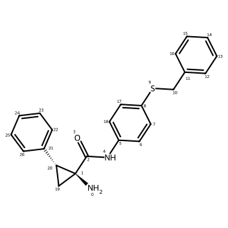 N[C@@]1(C(=O)Nc2ccc(SCc3ccccc3)cc2)C[C@@H]1c1ccccc1